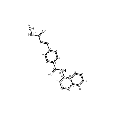 O=C(/C=C/c1ccc(C(=O)Nc2cccc3ncccc23)cc1)NO